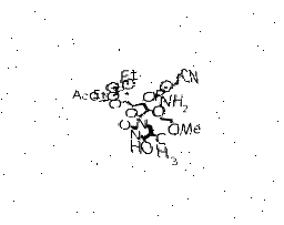 CCOP(=O)(C[C@@H](OCCOC(C)=O)[C@H]1O[C@@H](n2cc(C)c(=O)[nH]c2=O)[C@H](OCCOC)[C@@H]1OP(N)OCCC#N)OCC